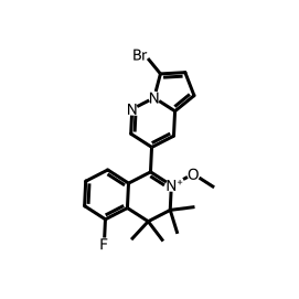 CO[N+]1=C(c2cnn3c(Br)ccc3c2)c2cccc(F)c2C(C)(C)C1(C)C